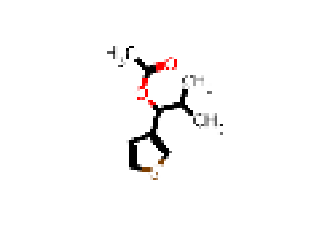 CC(=O)OC(c1ccsc1)C(C)C